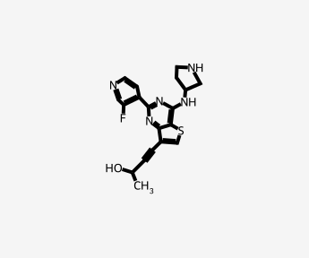 CC(O)C#Cc1csc2c(NC3CCNC3)nc(-c3ccncc3F)nc12